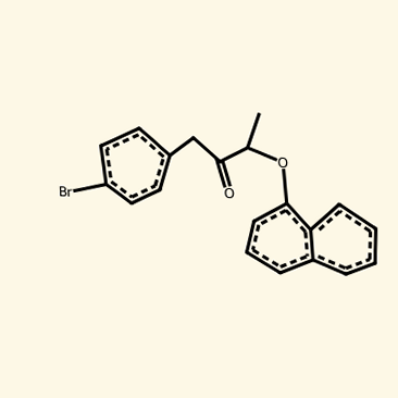 CC(Oc1cccc2ccccc12)C(=O)Cc1ccc(Br)cc1